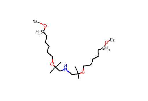 CCO[SiH2]CCCCCOC(C)(C)CNCC(C)(C)OCCCCC[SiH2]OCC